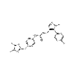 Cc1nc(Cc2ccc(NC(=O)C=Cc3cnn(C)c3-c3ccc(F)cc3)cc2)sc1C